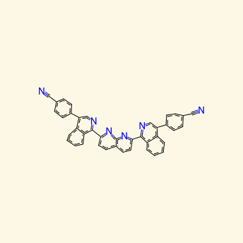 N#Cc1ccc(-c2cnc(-c3ccc4ccc(-c5ncc(-c6ccc(C#N)cc6)c6ccccc56)nc4n3)c3ccccc23)cc1